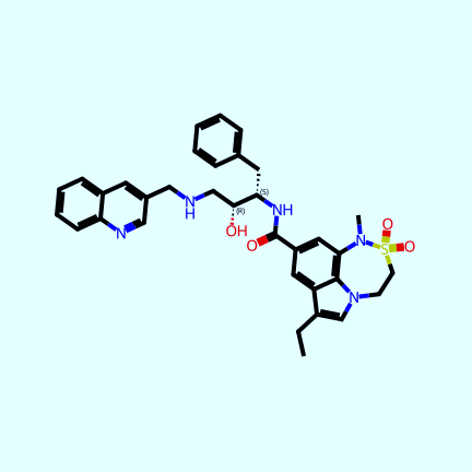 CCc1cn2c3c(cc(C(=O)N[C@@H](Cc4ccccc4)[C@H](O)CNCc4cnc5ccccc5c4)cc13)N(C)S(=O)(=O)CC2